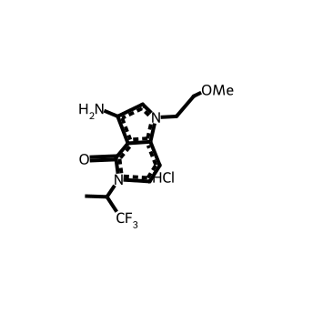 COCCn1cc(N)c2c(=O)n(C(C)C(F)(F)F)ccc21.Cl